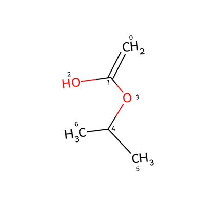 C=C(O)OC(C)C